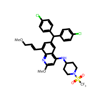 COCC=Cc1cc(C(c2ccc(Cl)cc2)c2ccc(Cl)cc2)cc2c(NC3CCN(S(=O)(=O)C(F)(F)F)CC3)cc(OC)nc12